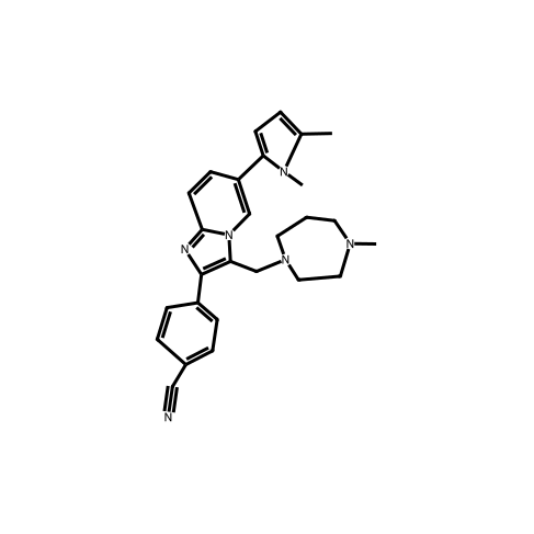 Cc1ccc(-c2ccc3nc(-c4ccc(C#N)cc4)c(CN4CCCN(C)CC4)n3c2)n1C